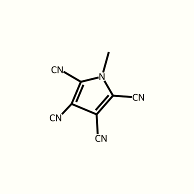 [C-]#[N+]c1c(C#N)c(C#N)n(C)c1[N+]#[C-]